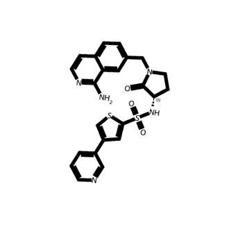 Nc1nccc2ccc(CN3CC[C@H](NS(=O)(=O)c4cc(-c5cccnc5)cs4)C3=O)cc12